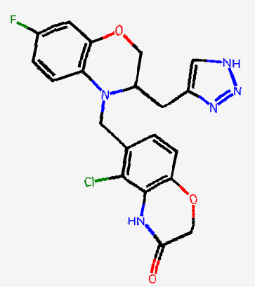 O=C1COc2ccc(CN3c4ccc(F)cc4OCC3Cc3c[nH]nn3)c(Cl)c2N1